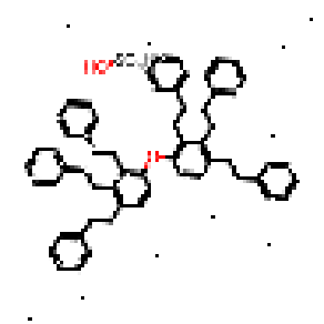 O=S(=O)(O)O.c1ccc(CCc2ccc(Oc3ccc(CCc4ccccc4)c(CCc4ccccc4)c3CCc3ccccc3)c(CCc3ccccc3)c2CCc2ccccc2)cc1